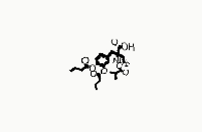 CCCC(=O)Oc1ccc(CC(N)(C[C@H](C)OC(=O)C(C)C)C(=O)O)cc1OC(=O)CCC